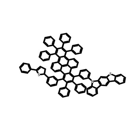 C1=C(c2ccccc2)SC(c2cccc(-c3c(-c4ccccc4)c(-c4ccccc4)c(-c4cccc(-n5c6ccccc6c6cc7c(cc65)sc5ccccc57)c4)c4c5cccc6c7c(-c8ccccc8)c(-c8ccccc8)c(-c8ccccc8)c(-c8ccccc8)c7c7cccc(c34)c7c65)c2)C1